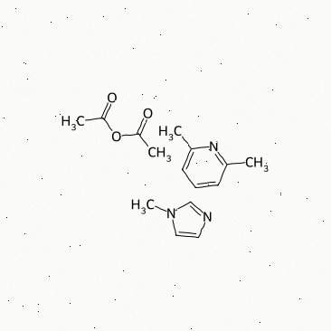 CC(=O)OC(C)=O.Cc1cccc(C)n1.Cn1ccnc1